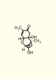 CC1=C[C@H]2O[C@@H]3[C@H](O)C[C@](C)([C@@]2(O)CC1=O)[C@]31CO1